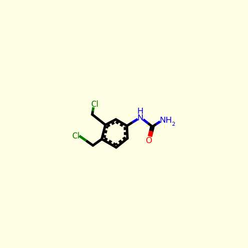 NC(=O)Nc1ccc(CCl)c(CCl)c1